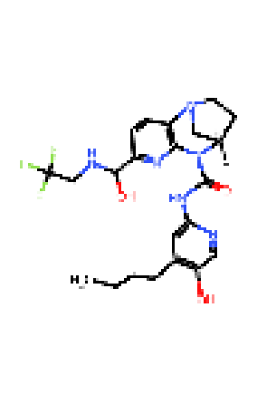 CCCCc1cc(NC(=O)N2c3nc(C(O)NCC(F)(F)F)ccc3N3CC[C@H]2C3)ncc1O